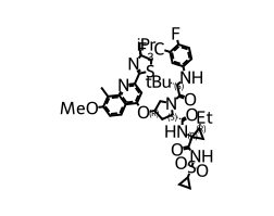 CC[C@@H]1C[C@]1(NC(=O)[C@@H]1C[C@@H](Oc2cc(C3=NC(C(C)C)CS3)nc3c(C)c(OC)ccc23)CN1C(=O)[C@@H](Nc1ccc(F)c(C(F)(F)F)c1)C(C)(C)C)C(=O)NS(=O)(=O)C1CC1